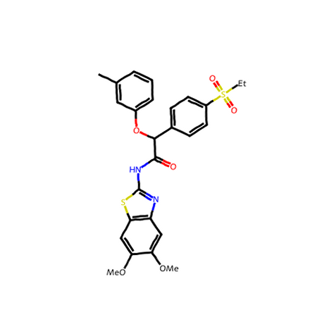 CCS(=O)(=O)c1ccc(C(Oc2cccc(C)c2)C(=O)Nc2nc3cc(OC)c(OC)cc3s2)cc1